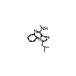 CNc1nc2ccccc2n2c(CC(C)C)cnc12